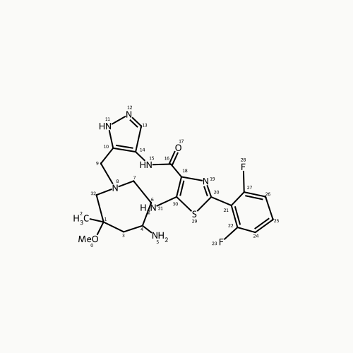 COC1(C)CC(N)CCN(Cc2[nH]ncc2NC(=O)c2nc(-c3c(F)cccc3F)sc2N)C1